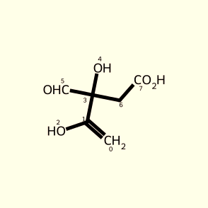 C=C(O)C(O)(C=O)CC(=O)O